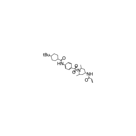 C=CC(=O)NC1CC(C)N(S(=O)(=O)c2ccc(NC(=O)C3CCC(C(C)(C)C)CC3)cc2)C(C)C1